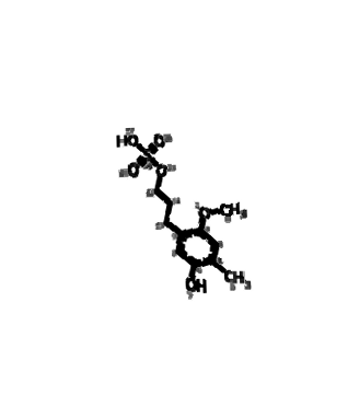 COc1cc(C)c(O)cc1CCCOS(=O)(=O)O